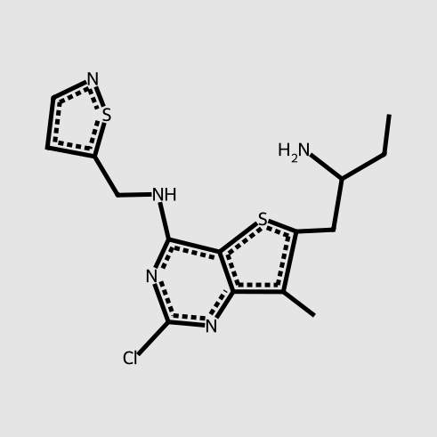 CCC(N)Cc1sc2c(NCc3ccns3)nc(Cl)nc2c1C